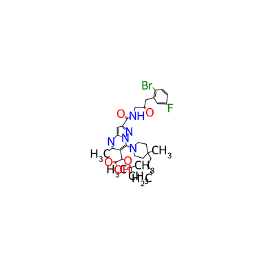 C=CCCC1(C)CCN(c2c(C(OC(C)(C)C)C(=O)O)c(C)nc3cc(C(=O)NCC(=O)Cc4cc(F)ccc4Br)nn23)CC1